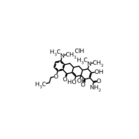 CCCOc1ccc(N(C)C)c2c1C(=O)C1=C(O)C3(O)C(=O)C(C(N)=O)=C(O)C(N(C)C)C3CC1C2.Cl